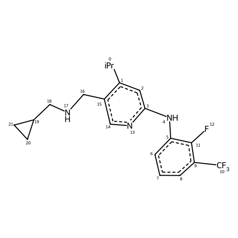 CC(C)c1cc(Nc2cccc(C(F)(F)F)c2F)ncc1CNCC1CC1